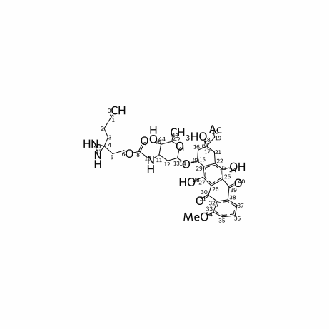 C#CCCC1(CCOC(=O)NC2CC(O[C@H]3C[C@](O)(CC(C)=O)Cc4c(O)c5c(c(O)c43)C(=O)c3c(OC)cccc3C5=O)OC(C)C2O)NN1